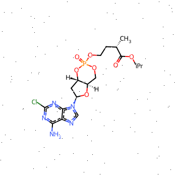 CC(C)OC(=O)[C@@H](C)CCOP1(=O)OC[C@H]2O[C@@H](n3cnc4c(N)nc(Cl)nc43)C[C@@H]2O1